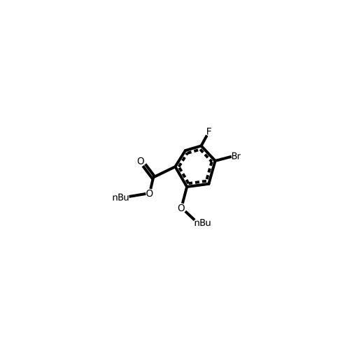 CCCCOC(=O)c1cc(F)c(Br)cc1OCCCC